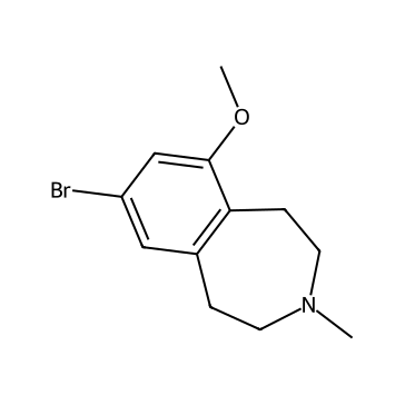 COc1cc(Br)cc2c1CCN(C)CC2